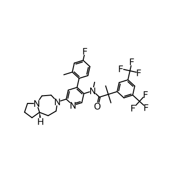 Cc1cc(F)ccc1-c1cc(N2CC[C@@H]3CCCN3CC2)ncc1N(C)C(=O)C(C)(C)c1cc(C(F)(F)F)cc(C(F)(F)F)c1